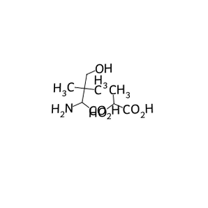 CC(C)(CO)C(N)C(=O)O.CC(O)C(=O)O